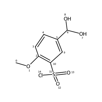 COc1ccc(C(O)O)cc1S(=O)(=O)Cl